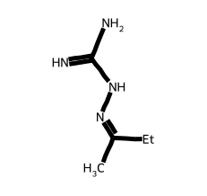 CC/C(C)=N\NC(=N)N